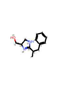 CC(Cc1ccccc1)C1=NC(CO)CN1